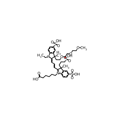 CCN1/C(=C/C=C/C2=[N+](CCCCCC(=O)O)c3ccc(S(=O)(=O)O)cc3C2(C)CCCS(=O)(=O)O)C(C)(CCOCCOCCOC)c2cc(S(=O)(=O)O)ccc21